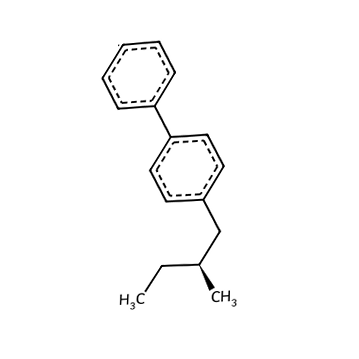 CC[C@H](C)Cc1ccc(-c2cc[c]cc2)cc1